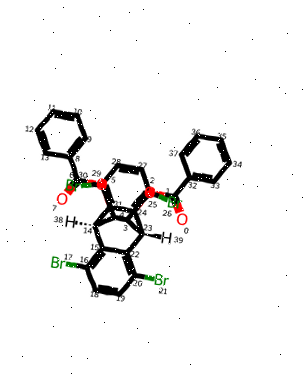 O=C(OC1C(OC(=O)c2ccccc2)[C@H]2c3c(Br)ccc(Br)c3[C@H]1c1c(Br)ccc(Br)c12)c1ccccc1